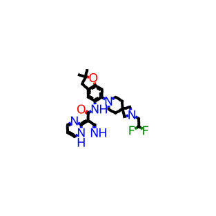 CC1(C)Cc2cc(NC(=O)/C(C=N)=C3\N=CC=CN3)c(N3CCC4(CC3)CN(CC(F)F)C4)cc2O1